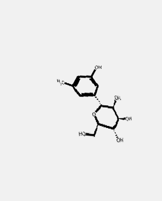 Cc1cc(O)cc([C@H]2O[C@H](CO)[C@@H](O)[C@H](O)[C@@H]2O)c1